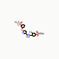 CNS(=O)(=O)c1ccc(CNC(=O)c2ccc(Oc3cccc(S(C)(=O)=O)c3)nc2)c(Cl)c1